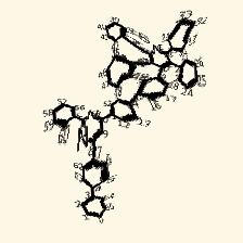 c1ccc(-c2ccc(-c3cc(-c4ccc(-c5cccc(-c6c(-c7ccccc7)c(-c7ccccc7)nc(-c7ccccc7)c6-c6ccccc6)c5)cc4)nc(-c4ccccc4)n3)cc2)cc1